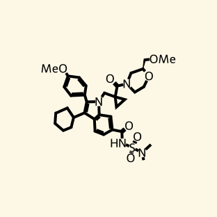 COC[C@@H]1CN(C(=O)C2(Cn3c(-c4ccc(OC)cc4)c(C4CCCCC4)c4ccc(C(=O)NS(=O)(=O)N(C)C)cc43)CC2)CCO1